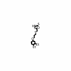 CCc1ccc(OCCCSCc2n[nH]c(=S)o2)cc1CC